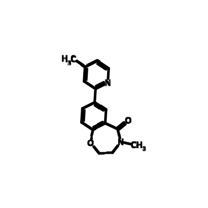 Cc1ccnc(-c2ccc3c(c2)C(=O)N(C)CCO3)c1